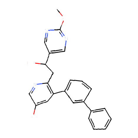 COc1ncc(C(O)Cc2ncc(O)cc2-c2cccc(-c3ccccc3)c2)cn1